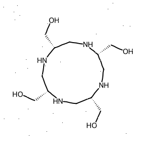 OC[C@@H]1CN[C@H](CO)CN[C@H](CO)CN[C@H](CO)CN1